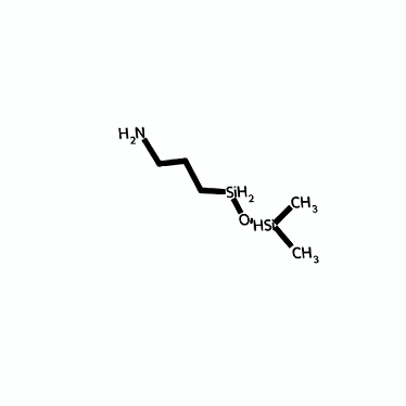 C[SiH](C)O[SiH2]CCCN